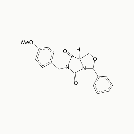 COc1ccc(CN2C(=O)[C@H]3COC(c4ccccc4)N3C2=O)cc1